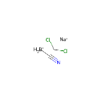 ClCCl.[BH3-]C#N.[Na+]